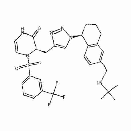 CC(C)(C)NCc1ccc2c(c1)CCC[C@@H]2n1cc(C[C@@H]2C(=O)NC=CN2S(=O)(=O)c2cccc(C(F)(F)F)c2)nn1